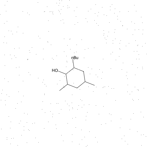 CCCCC1CC(C)CC(C)C1O